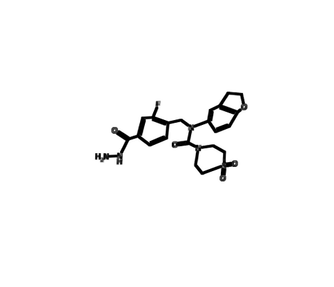 NNC(=O)c1ccc(CN(C(=O)N2CCS(=O)(=O)CC2)c2ccc3c(c2)CCO3)c(F)c1